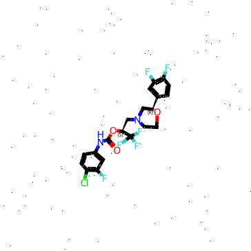 O=C(Nc1ccc(Cl)c(F)c1)O[C@@H](CN1CCO[C@H](c2ccc(F)c(F)c2)C1)C(F)(F)F